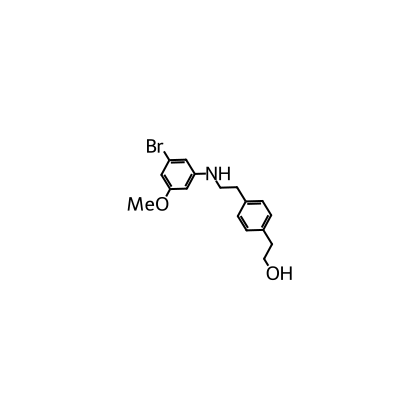 COc1cc(Br)cc(NCCc2ccc(CCO)cc2)c1